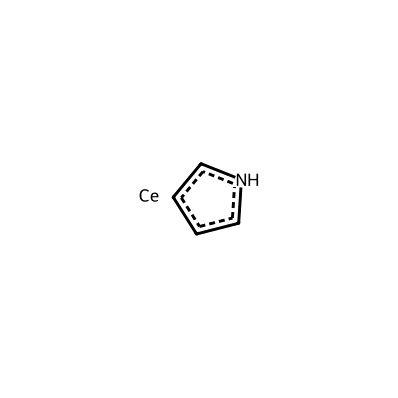 [Ce].c1cc[nH]c1